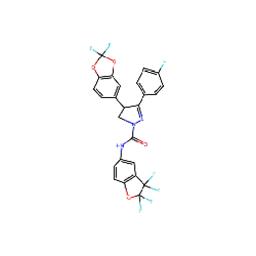 O=C(Nc1ccc2c(c1)C(F)(F)C(F)(F)O2)N1CC(c2ccc3c(c2)OC(F)(F)O3)C(c2ccc(F)cc2)=N1